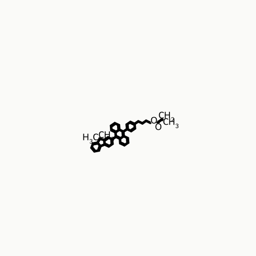 C=C(C)C(=O)OCCCCc1ccc(-c2c3ccccc3c(-c3ccc4c(c3)C(C)(C)c3ccccc3-4)c3ccccc23)cc1